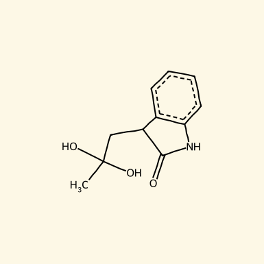 CC(O)(O)CC1C(=O)Nc2ccccc21